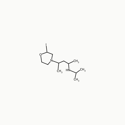 CC(C)NC(C)CC(C)N1CCOC(I)C1